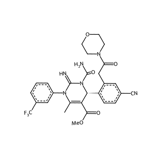 COC(=O)C1=C(C)N(c2cccc(C(F)(F)F)c2)C(=N)N(C(N)=O)[C@@H]1c1ccc(C#N)cc1CC(=O)N1CCOCC1